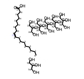 CCCCCCCC/C=C\CCCCCCCC(=O)O.OCC(O)CO.OCC(O)CO.OCC(O)CO.OCC(O)CO.OCC(O)CO.OCC(O)CO